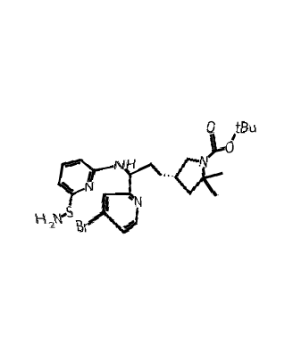 CC(C)(C)OC(=O)N1C[C@@H](CCC(Nc2cccc(SN)n2)c2cc(Br)ccn2)CC1(C)C